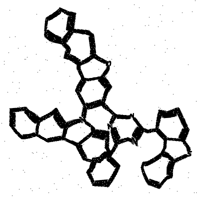 c1ccc(-c2nc(-c3cc4oc5cc6ccccc6cc5c4cc3-n3c4ccccc4c4cc5ccccc5cc43)nc(-c3cccc4sc5ccccc5c34)n2)cc1